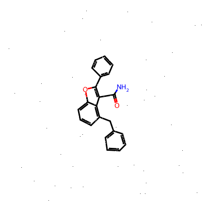 NC(=O)c1c(-c2ccccc2)oc2cccc(Cc3ccccc3)c12